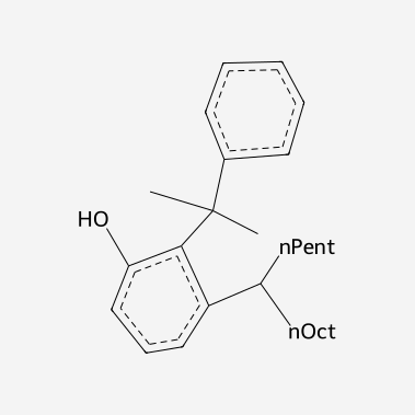 CCCCCCCCC(CCCCC)c1cccc(O)c1C(C)(C)c1ccccc1